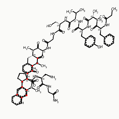 CCCCC[C@H](NC(=O)CNC(=O)[C@H](CO)NC(=O)[C@@H](NC(=O)[C@H](Cc1ccc(O)cc1)NC(=O)[C@H](C)N(C)C(=O)[C@H](Cc1ccccc1)NC(=O)CC)C(C)C)C(=O)N(C)[C@@H](Cc1ccccc1)C(=O)N(C)CC(=O)N[C@@H](Cc1ccc(O)cc1)C(=O)N(C)[C@@H](Cc1ccccc1)C(=O)N1CCC[C@H]1C(=O)N[C@@H](CN)C(=O)NCC(N)=O